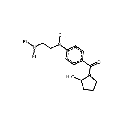 CCN(CC)CCN(C)c1ccc(C(=O)N2CCCC2C)cn1